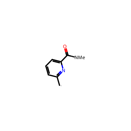 [CH2]c1cccc(C(=O)NC)n1